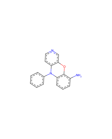 Nc1cccc2c1Oc1cnccc1N2c1ccccc1